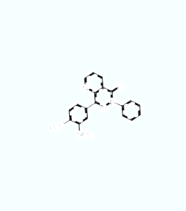 Cc1ccc(-c2nn(-c3ccccc3)c(=O)c3cccnc23)cc1[N+](=O)[O-]